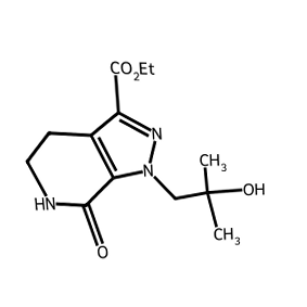 CCOC(=O)c1nn(CC(C)(C)O)c2c1CCNC2=O